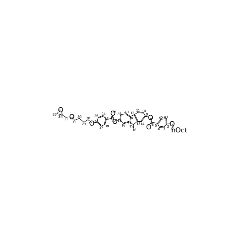 CCCCCCCCOc1ccc(C(=O)Oc2ccc3c(c2)C(C)c2cc(OC(=O)c4ccc(OCCCCOCC5CO5)cc4)ccc2-3)cc1